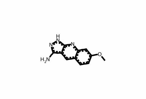 COc1ccc2cc3c(N)n[nH]c3nc2c1